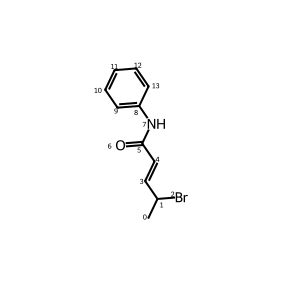 CC(Br)C=CC(=O)Nc1ccccc1